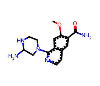 COc1cc2c(N3CCNC(N)C3)nccc2cc1C(N)=O